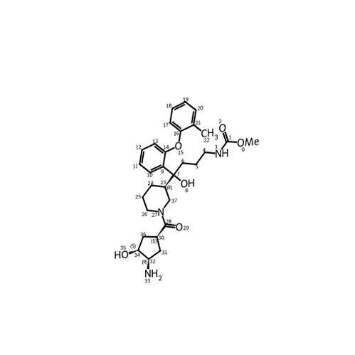 COC(=O)NCCCC(O)(c1ccccc1Oc1ccccc1C)[C@@H]1CCCN(C(=O)[C@H]2C[C@@H](N)[C@@H](O)C2)C1